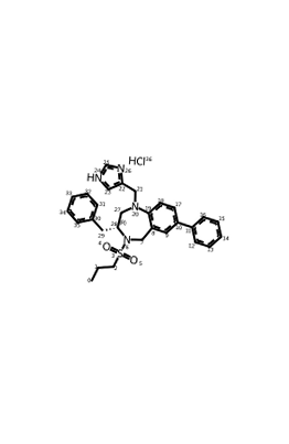 CCCS(=O)(=O)N1Cc2cc(-c3ccccc3)ccc2N(Cc2c[nH]cn2)C[C@H]1Cc1ccccc1.Cl